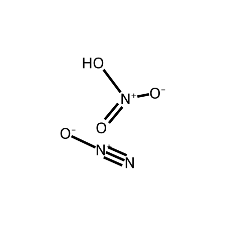 N#[N+][O-].O=[N+]([O-])O